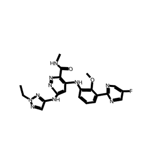 CCn1ncc(Nc2cc(Nc3cccc(-c4ncc(F)cn4)c3OC)c(C(=O)NC)nn2)n1